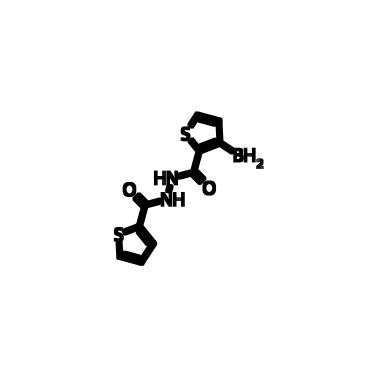 Bc1ccsc1C(=O)NNC(=O)c1cccs1